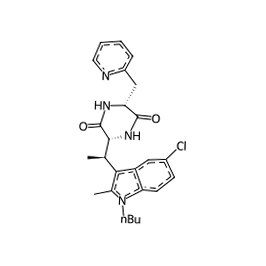 CCCCn1c(C)c([C@@H](C)[C@H]2NC(=O)[C@@H](Cc3ccccn3)NC2=O)c2cc(Cl)ccc21